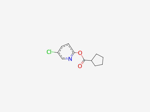 O=C(Oc1ccc(Cl)cn1)C1CCCC1